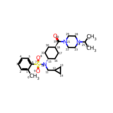 Cc1ccccc1S(=O)(=O)N(CC1CC1)[C@H]1CC[C@H](C(=O)N2CCN(C(C)C)CC2)CC1